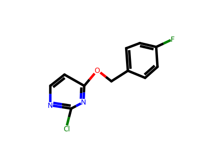 Fc1ccc(COc2ccnc(Cl)n2)cc1